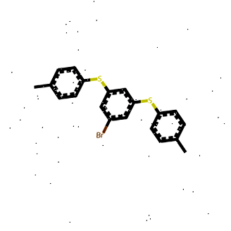 Cc1ccc(Sc2cc(Br)cc(Sc3ccc(C)cc3)c2)cc1